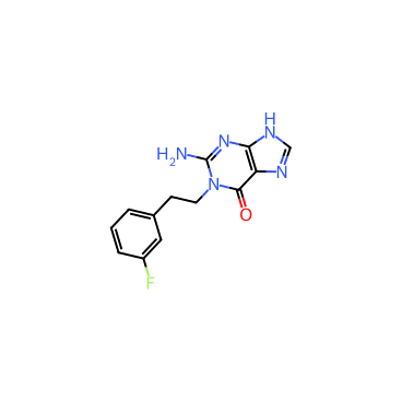 Nc1nc2[nH]cnc2c(=O)n1CCc1cccc(F)c1